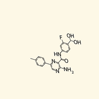 Cc1ccc(-c2cnc(N)c(C(=O)Nc3ccc(C(O)O)c(F)c3)n2)cc1